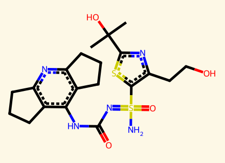 CC(C)(O)c1nc(CCO)c(S(N)(=O)=NC(=O)Nc2c3c(nc4c2CCC4)CCC3)s1